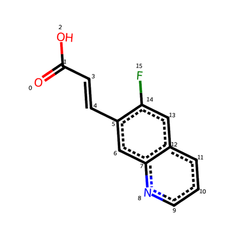 O=C(O)/C=C/c1cc2ncccc2cc1F